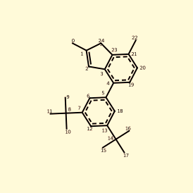 CC1=Cc2c(-c3cc(C(C)(C)C)cc(C(C)(C)C)c3)ccc(C)c2[CH]1